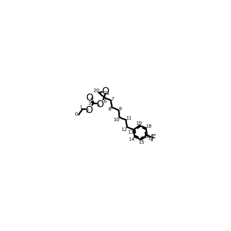 CCOC(=O)OC1(CCCCCCc2ccc(F)cc2)CO1